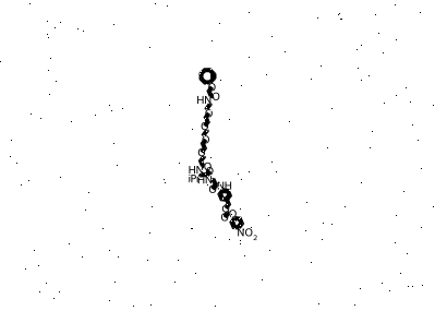 CC(C)C(NC(=O)CCOCCOCCOCCOCCNC(=O)COC1C#CCCCCC1)C(=O)NCC(=O)Nc1ccc(COC(=O)Oc2ccc([N+](=O)[O-])cc2)cc1